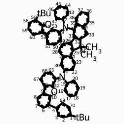 CC(C)(C)c1ccc(-c2cccc3c2oc2c(N(c4ccccc4)c4ccc5c6c(ccc5c4)-c4c(cc5ccccc5c4N(c4ccccc4)c4cccc5c4oc4c(C(C)(C)C)cccc45)C6(C)C)cccc23)cc1